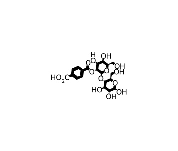 O=C(O)c1ccc(C(=O)O[C@H]2[C@H](O[C@H]3[C@H](O)[C@@H](O)[C@H](O)O[C@@H]3CO)O[C@H](CO)[C@H](O)[C@@H]2O)cc1